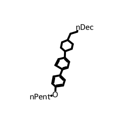 CCCCCCCCCCCCC1CCC(c2ccc(-c3ccc(OCCCCC)cc3)cc2)CC1